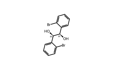 O[C@H](c1ccccc1Br)[C@H](O)c1ccccc1Br